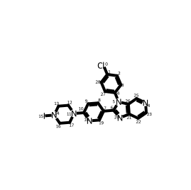 Clc1ccc(-n2c(-c3ccc(N4CCN(I)CC4)nc3)nc3ccncc32)cc1